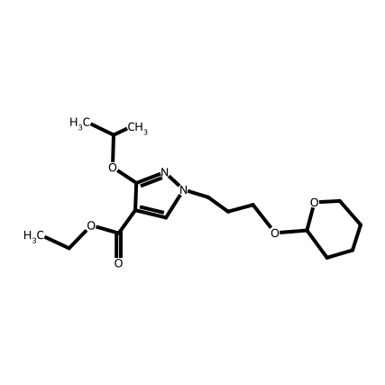 CCOC(=O)c1cn(CCCOC2CCCCO2)nc1OC(C)C